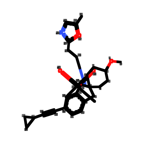 COC1CCC2(CC1)Cc1ccc(C#CC3CC3)cc1C21NC(=O)N(CCc2ncc(C)o2)C1=O